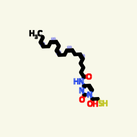 CC/C=C\C/C=C\C/C=C\C/C=C\C/C=C\CCCC(=O)Nc1ccn(C(O)CS)c(=O)n1